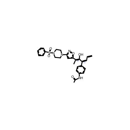 C=C/C=C(\C(O)=C(/C)c1cc(N2CCN(S(=O)(=O)c3ccccc3)CC2)no1)c1ccc(NC(C)=O)cc1